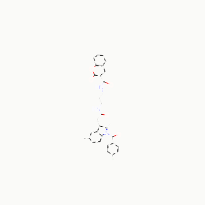 Cc1ccc2c(c1)c(CC(=O)NCCCNC(=O)c1cc3ccccc3oc1=O)c(C)n2C(=O)c1ccc(Cl)cc1